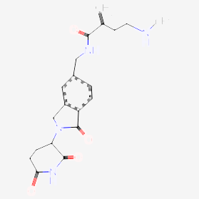 C=C(CCNCCC)C(=O)NCc1ccc2c(c1)CN(C1CCC(=O)NC1=O)C2=O